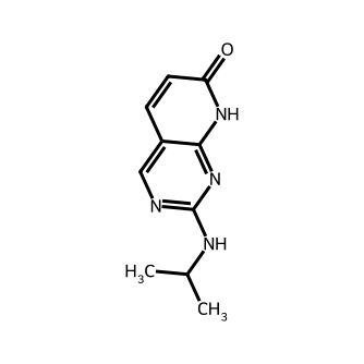 CC(C)Nc1ncc2ccc(=O)[nH]c2n1